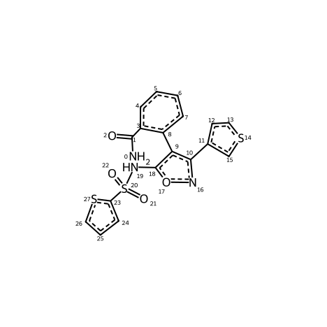 NC(=O)c1ccccc1-c1c(-c2ccsc2)noc1NS(=O)(=O)c1cccs1